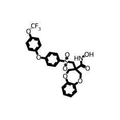 O=C(NO)C1(CS(=O)(=O)c2ccc(Oc3ccc(OC(F)(F)F)cc3)cc2)COc2ccccc2OC1